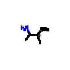 CS[C@@H](I)C(C)N